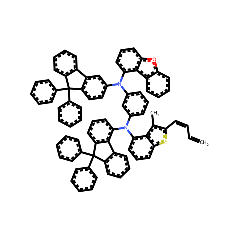 C=C/C=C\c1sc2cccc(N(c3cccc(N(c4ccc5c(c4)-c4ccccc4C5(c4ccccc4)c4ccccc4)c4cccc5oc6ccccc6c45)c3)c3cccc4c3-c3ccccc3C4(c3ccccc3)c3ccccc3)c2c1C